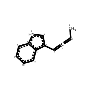 CC=C=Cc1c[nH]c2ccccc12